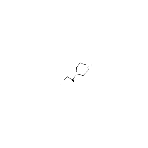 BCC(=O)N1CCNCC1